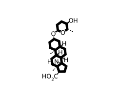 C[C@@H]1O[C@@H](O[C@H]2CC[C@@]3(C)[C@H](CC[C@@H]4[C@@H]3CC[C@]3(C)[C@@H](C(=O)O)CC[C@]43N)C2)CC[C@H]1O